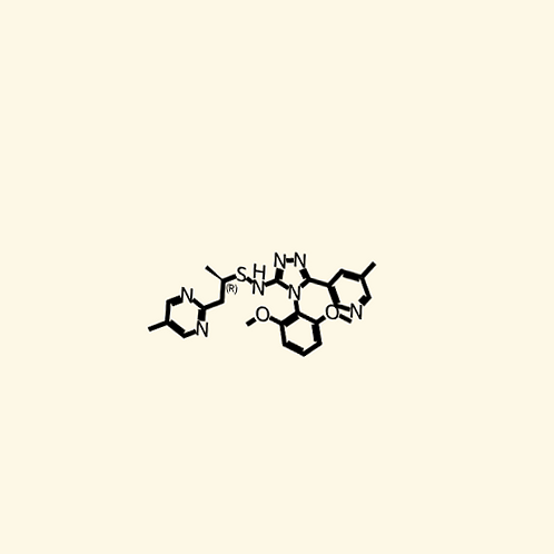 COc1cccc(OC)c1-n1c(NS[C@H](C)Cc2ncc(C)cn2)nnc1-c1cncc(C)c1